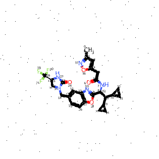 Cc1cc(CC(=O)N[C@H](c2nc3cc(CN4C[C@@H](C(F)(F)F)NC4=O)ccc3o2)C(C2CC2)C2CC2)on1